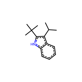 CC(C)c1c(C(C)(C)C)[nH]c2ccccc12